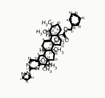 C[C@@H]1[C@H]2C3=CC[C@H]4[C@]5(C)Cc6cnc(-n7cccn7)nc6C(C)(C)[C@H]5CC[C@]4(C)[C@]3(C)CC[C@@]2(C(=O)OCc2ccccc2)CC[C@@H]1C